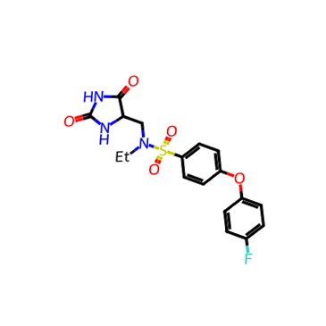 CCN(CC1NC(=O)NC1=O)S(=O)(=O)c1ccc(Oc2ccc(F)cc2)cc1